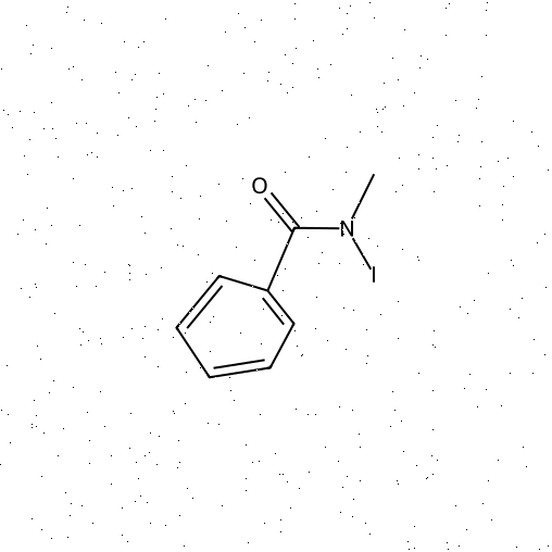 CN(I)C(=O)c1ccccc1